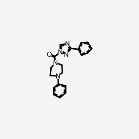 O=C(N1CCN(c2ccccc2)CC1)n1cnc(-c2ccccc2)n1